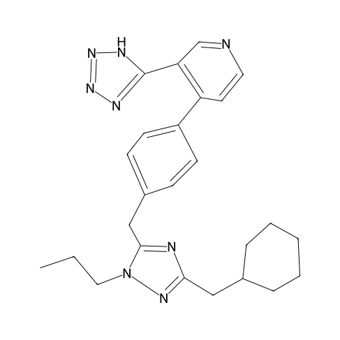 CCCn1nc(CC2CCCCC2)nc1Cc1ccc(-c2ccncc2-c2nnn[nH]2)cc1